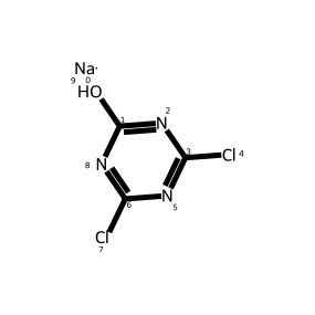 Oc1nc(Cl)nc(Cl)n1.[Na]